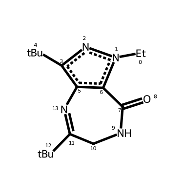 CCn1nc(C(C)(C)C)c2c1C(=O)NCC(C(C)(C)C)=N2